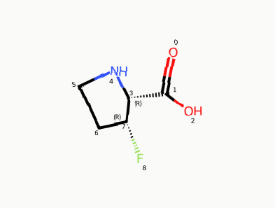 O=C(O)[C@H]1NCC[C@H]1F